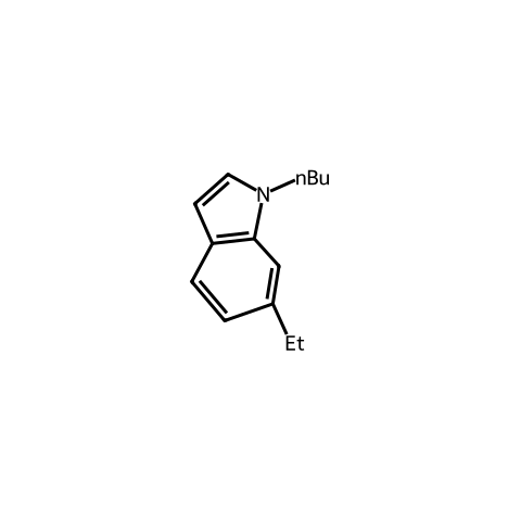 CCCCn1ccc2ccc(CC)cc21